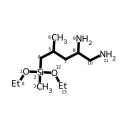 CCO[Si](C)(CC(C)CC(N)CN)OCC